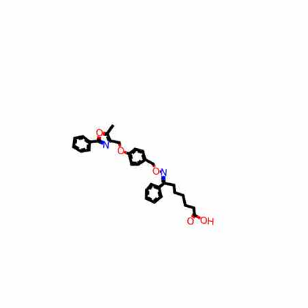 Cc1oc(-c2ccccc2)nc1COc1ccc(CON=C(CCCCCC(=O)O)c2ccccc2)cc1